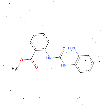 COC(=O)c1ccccc1NC(=O)Nc1ccccc1N